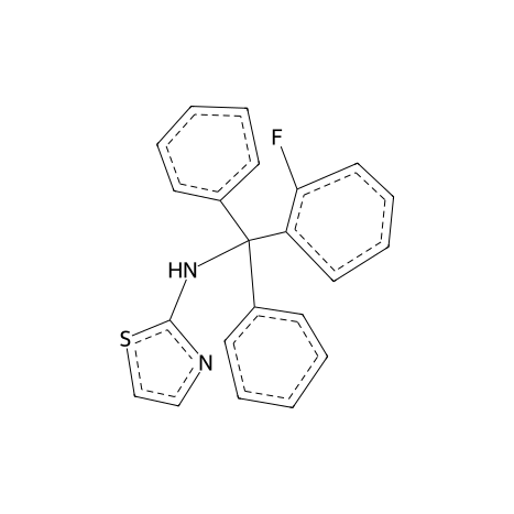 Fc1ccccc1C(Nc1nccs1)(c1ccccc1)c1ccccc1